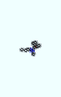 c1ccc(-c2ccc3cc(-c4nc(-c5ccccc5)nc(-c5cccc(-c6cccc7cccc(-c8cccc9ccccc89)c67)c5)n4)ccc3c2)cc1